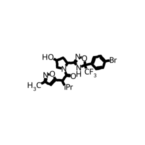 Cc1cc(C(C(=O)N2CC(O)CC2C2=NOC(c3ccc(Br)cc3)(C(F)(F)F)N2)C(C)C)on1